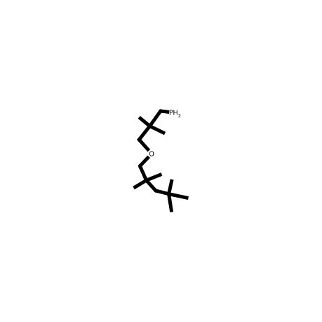 CC(C)(C)CC(C)(C)COCC(C)(C)CP